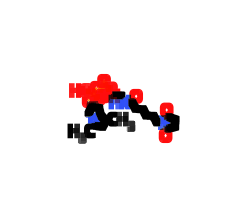 CC1CC(C)N2C[C@H](OP(=O)(O)OP(=O)(O)OCCNC(=O)CCCCCN3C(=O)C=CC3=O)CC12